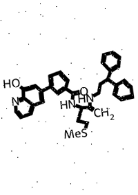 C=C(NCCC(c1ccccc1)c1ccccc1)C(CCSC)NC(=O)c1cccc(-c2cc(O)c3ncccc3c2)c1